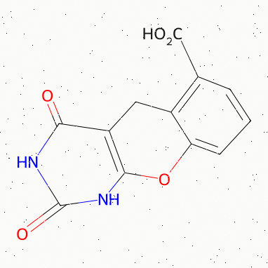 O=C(O)c1cccc2c1Cc1c([nH]c(=O)[nH]c1=O)O2